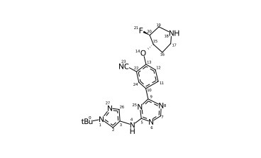 CC(C)(C)n1cc(Nc2ncnc(-c3ccc(O[C@H]4CCNC[C@@H]4F)c(C#N)c3)n2)cn1